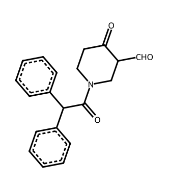 O=CC1CN(C(=O)C(c2ccccc2)c2ccccc2)CCC1=O